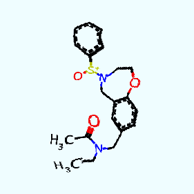 CCN(Cc1ccc2c(c1)CN([S+]([O-])c1ccccc1)CCO2)C(C)=O